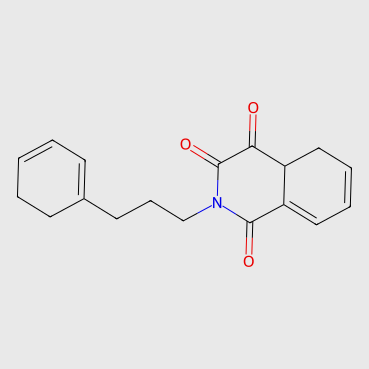 O=C1C(=O)N(CCCC2=CC=CCC2)C(=O)C2=CC=CCC12